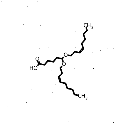 CCCCC/C=C\CCOC(CCCCC(=O)O)OCC/C=C\CCCCC